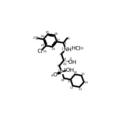 CC(NC[C@H](O)CP(=O)(O)CC1CCCCC1)c1ccc(I)c(Cl)c1.Cl